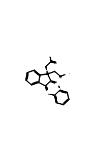 O=C(O)CC1(CC(=O)O)c2ccccc2-c2nc3ccccc3nc21